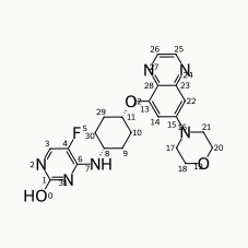 Oc1ncc(F)c(N[C@H]2CC[C@@H](Oc3cc(N4CCOCC4)cc4nccnc34)CC2)n1